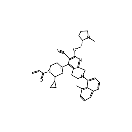 C=CC(=O)N1CCN(c2c(C#N)c(OC[C@@H]3CCCN3C)nc3c2CCN(c2cccc4cccc(C)c24)C3)CC1C1CC1